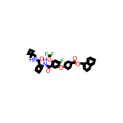 CC1(CNC(=O)C2C3C=CC(C3)C2NC(=O)c2cc(OC3CCC(C(=O)OCc4cccc5ccccc45)CC3)c(F)cc2OC(F)F)CCC1